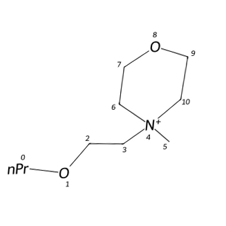 CCCOCC[N+]1(C)CCOCC1